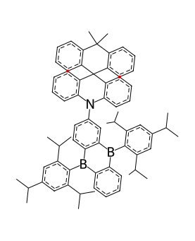 CC(C)c1cc(C(C)C)c(B2c3ccccc3B(c3c(C(C)C)cc(C(C)C)cc3C(C)C)c3cc(N4c5ccccc5C5(c6ccccc64)c4ccccc4C(C)(C)c4ccccc45)ccc32)c(C(C)C)c1